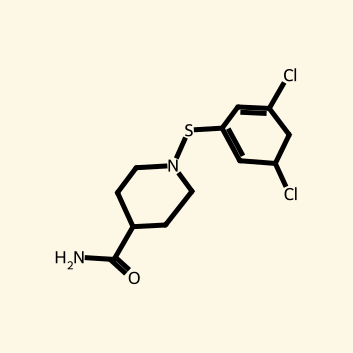 NC(=O)C1CCN(SC2=CC(Cl)CC(Cl)=C2)CC1